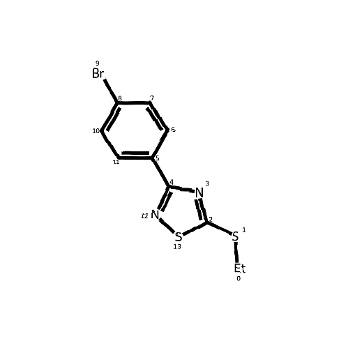 CCSc1nc(-c2ccc(Br)cc2)ns1